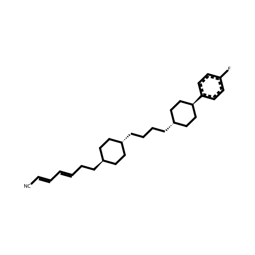 N#CC=CC=CCC[C@H]1CC[C@H](CCCC[C@H]2CC[C@H](c3ccc(F)cc3)CC2)CC1